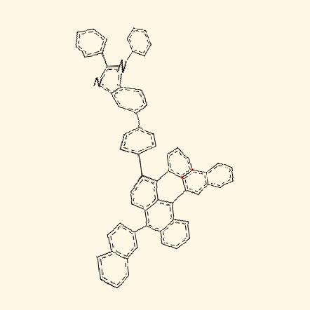 c1ccc(-c2c(-c3ccc(-c4ccc5c(c4)nc(-c4ccccc4)n5-c4ccccc4)cc3)ccc3c(-c4ccc5ccccc5c4)c4ccccc4c(-c4ccc5ccccc5c4)c23)cc1